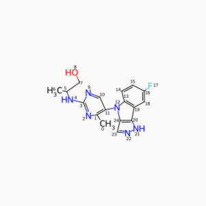 Cc1nc(NC(C)CO)ncc1-n1c2ccc(F)cc2c2[nH]ncc21